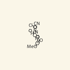 COC1CCN(C(=O)c2ccc3c(n2)CC[C@H]2C3=NN(c3ccc(C#N)c(Cl)c3)[C@H]2C2CCCC2)CC1